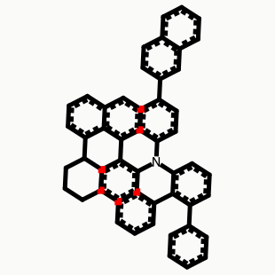 c1ccc(-c2cccc(N(c3ccc(-c4ccc5ccccc5c4)cc3)c3ccccc3-c3cccc4cccc(C5CCCCC5)c34)c2-c2ccccc2)cc1